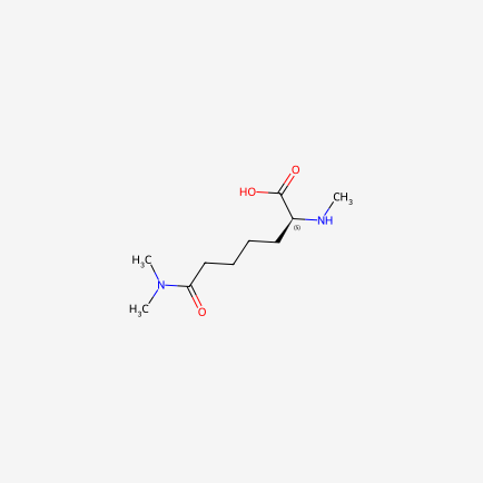 CN[C@@H](CCCCC(=O)N(C)C)C(=O)O